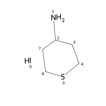 I.NC1CCSCC1